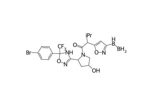 BBc1cc(C(C(=O)N2CC(O)CC2C2=NOC(c3ccc(Br)cc3)(C(F)(F)F)N2)C(C)C)on1